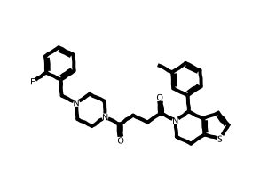 Cc1cccc(C2c3ccsc3CCN2C(=O)CCC(=O)N2CCN(Cc3ccccc3F)CC2)c1